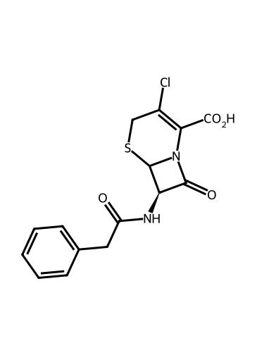 O=C(Cc1ccccc1)N[C@@H]1C(=O)N2C(C(=O)O)=C(Cl)CSC12